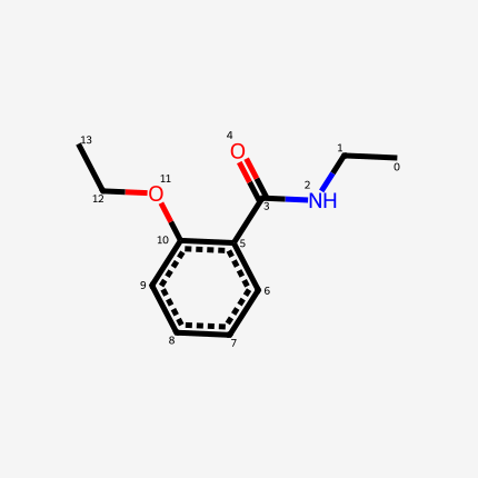 CCNC(=O)c1ccccc1OCC